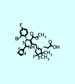 COC(=O)C1=C(CN2CC(F)(F)C(C)(C)[C@H]2CCC(=O)O)NC(c2nccs2)=N[C@H]1c1ccc(F)cc1Br